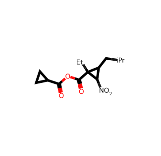 CCC1(C(=O)OC(=O)C2CC2)C(CC(C)C)C1[N+](=O)[O-]